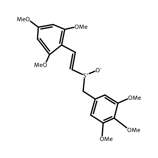 COc1cc(OC)c(C=C[S+]([O-])Cc2cc(OC)c(OC)c(OC)c2)c(OC)c1